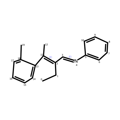 CCC(/C=N/c1ccccc1)=C(/C)c1ccccc1C